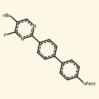 CCCCCc1ccc(-c2ccc(-c3ncc(CCCC)c(F)n3)cc2)cc1